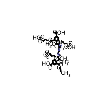 CCCOC(=O)c1cc(C(=O)O)cc2c1C(C)(C)C(/C=C/C=C/C=C1/N(CCCS(=O)(=O)O)c3cc(C(=O)O)cc(C(=O)OCCCS(=O)(=O)O)c3C1(C)C)=[N+]2CCCS(=O)(=O)[O-]